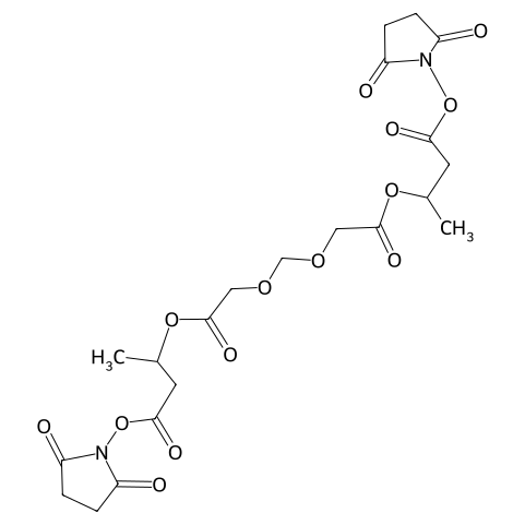 CC(CC(=O)ON1C(=O)CCC1=O)OC(=O)COCOCC(=O)OC(C)CC(=O)ON1C(=O)CCC1=O